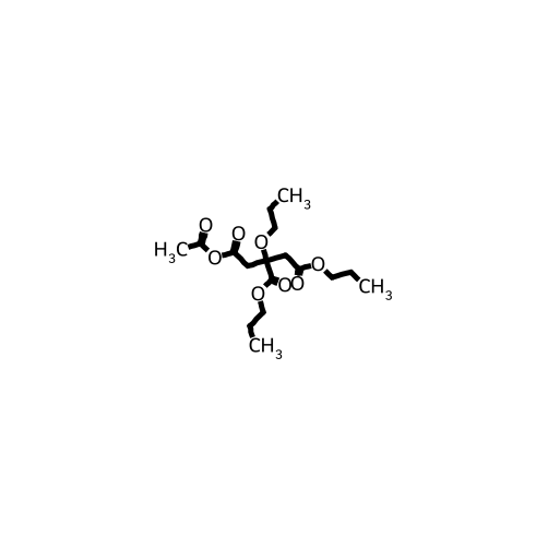 CCCOC(=O)CC(CC(=O)OC(C)=O)(OCCC)C(=O)OCCC